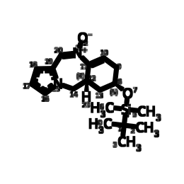 CC(C)(C)[Si](C)(C)O[C@@H]1CC=C2[C@H](C1)Cn1cccc1C=[N+]2[O-]